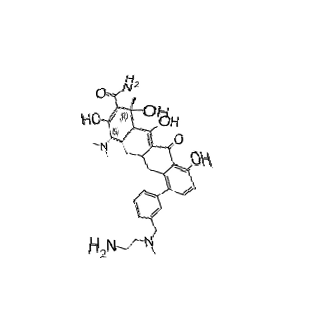 CN(CCN)Cc1cccc(-c2ccc(O)c3c2CC2CC4C(C(O)=C2C3=O)[C@@](C)(O)C(C(N)=O)=C(O)[C@H]4N(C)C)c1